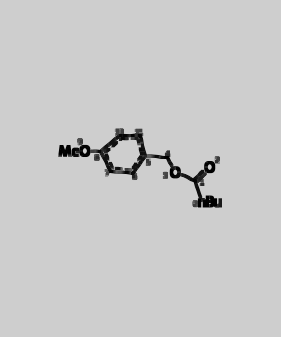 CCCCC(=O)OCc1ccc(OC)cc1